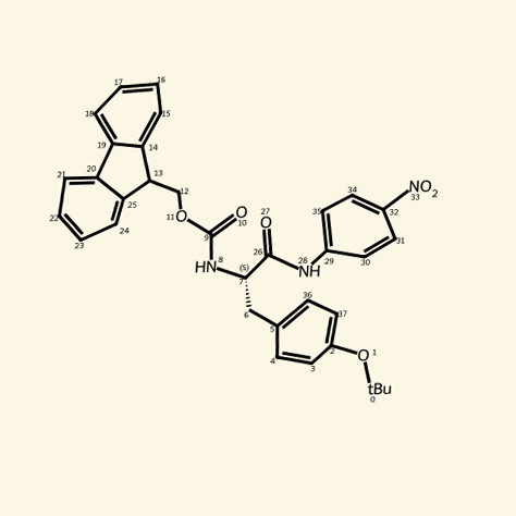 CC(C)(C)Oc1ccc(C[C@H](NC(=O)OCC2c3ccccc3-c3ccccc32)C(=O)Nc2ccc([N+](=O)[O-])cc2)cc1